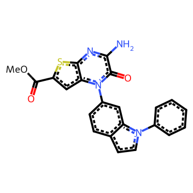 COC(=O)c1cc2c(nc(N)c(=O)n2-c2ccc3ccn(-c4ccccc4)c3c2)s1